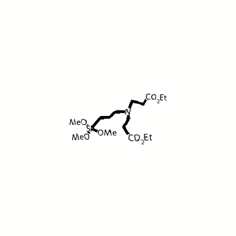 CCOC(=O)CCN(CCC[Si](OC)(OC)OC)CCC(=O)OCC